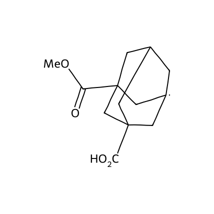 COC(=O)C12C[C]3CC(CC(C(=O)O)(C3)C1)C2